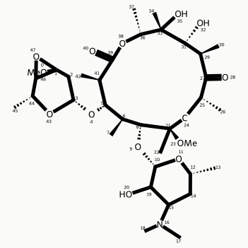 COC12C[C@H](O[C@H]3[C@H](C)[C@@H](O[C@@H]4O[C@H](C)CC(N(C)C)C4O)[C@](C)(OC)C[C@@H](C)C(=O)[C@H](C)[C@@H](O)[C@@](C)(O)[C@@H](C)OC(=O)[C@@H]3C)O[C@H](C)C1O2